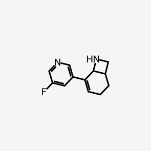 Fc1cncc(C2=CCCC3CNC23)c1